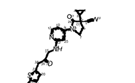 N#C[C@@]1(C2CC2)CCN(c2ccnc(NCC(=O)Cc3ccc(Cl)s3)c2)C1=O